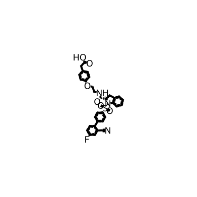 N#Cc1cc(F)ccc1-c1ccc(S(=O)(=O)N2c3ccccc3C[C@H]2C(=O)NCCOc2ccc(CC(=O)O)cc2)cc1